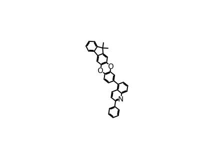 CC1(C)c2ccccc2-c2cc3c(cc21)Oc1cc(-c2cccc4nc(-c5ccccc5)ccc24)ccc1O3